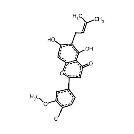 COc1cc(-c2cc(=O)c3c(O)c(CC=C(C)C)c(O)cc3o2)ccc1Cl